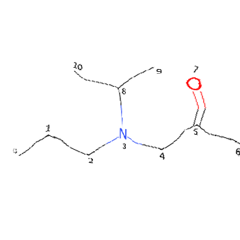 CCCN(CC(C)=O)C(C)C